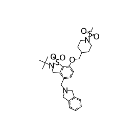 CC(C)(C)N1Cc2c(CN3Cc4ccccc4C3)ccc(OCC3CCN(S(C)(=O)=O)CC3)c2S1(=O)=O